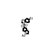 CCc1ccc(N(CC(C)C)S(=O)(=O)c2ccc3c(c2)CCN3C(C)=O)cc1